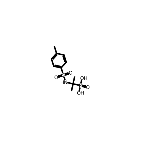 Cc1ccc(S(=O)(=O)NC(C)(C)P(=O)(O)O)cc1